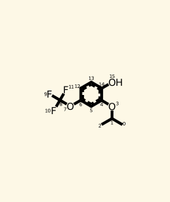 CC(C)Oc1cc(OC(F)(F)F)ccc1O